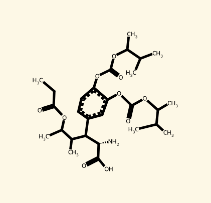 CCC(=O)OC(C)C(C)C(c1ccc(OC(=O)OC(C)C(C)C)c(OC(=O)OC(C)C(C)C)c1)[C@H](N)C(=O)O